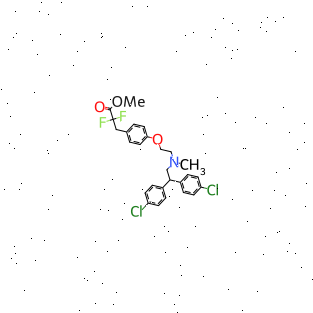 COC(=O)C(F)(F)Cc1ccc(OCCN(C)CC(c2ccc(Cl)cc2)c2ccc(Cl)cc2)cc1